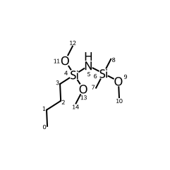 CCCC[Si](N[Si](C)(C)OC)(OC)OC